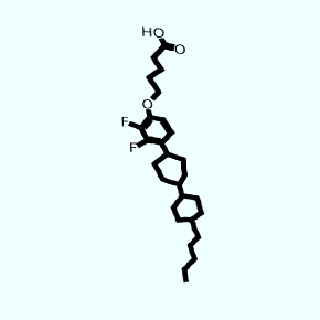 CCCCCC1CCC(C2CCC(c3ccc(OCCCCC(=O)O)c(F)c3F)CC2)CC1